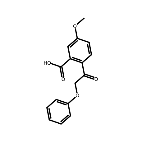 COc1ccc(C(=O)COc2ccccc2)c(C(=O)O)c1